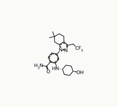 CC1(C)CCc2c(CC(F)(F)F)nn(-c3ccc(C(N)=O)c(N[C@H]4CC[C@H](O)CC4)c3)c2C1